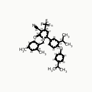 Cc1ccc(Cn2c(-c3ccc(Oc4ccc(C(C)C)cc4)c(C(C)C)c3)cc(C(F)(F)F)c(C#N)c2=O)c(C)c1